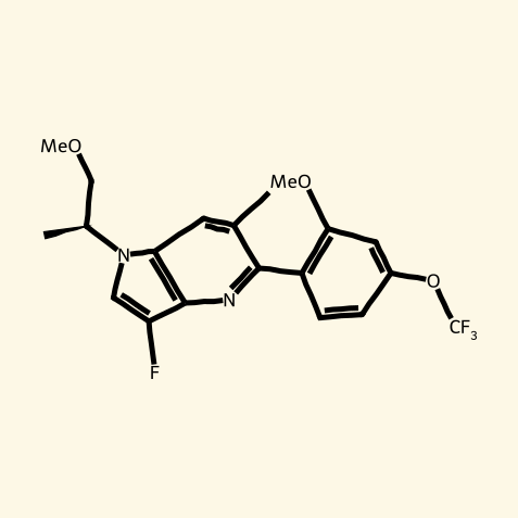 COC[C@H](C)n1cc(F)c2nc(-c3ccc(OC(F)(F)F)cc3OC)c(C)cc21